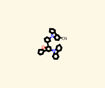 N#Cc1ccc2c(c1)c1ccccc1n2-c1cccc(-c2cc(-n3c4ccccc4c4ccccc43)cc3c2oc2ccccc23)c1